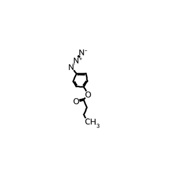 CCCC(=O)Oc1ccc(N=[N+]=[N-])cc1